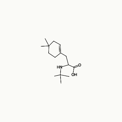 CC1(C)CC=C(CC(NC(C)(C)C)C(=O)O)CC1